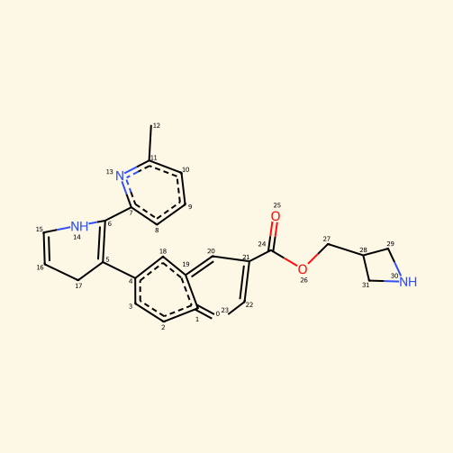 C=c1ccc(C2=C(c3cccc(C)n3)NC=CC2)c/c1=C/C(=C\C)C(=O)OCC1CNC1